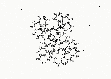 C=C/C=C\C=c1/c(C)c2/c(=C\C)cccc2n1-c1cc(-n2c3cccc4ccc5cccc2c5c43)cc([Si](c2ccccc2)(c2ccccc2)c2cc(-n3c4cccc5ccc6cccc3c6c54)cc(-n3c4cccc5ccc6cccc3c6c54)c2)c1